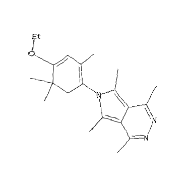 CCOC1=CC(C)=C(n2c(C)c3c(C)nnc(C)c3c2C)CC1(C)C